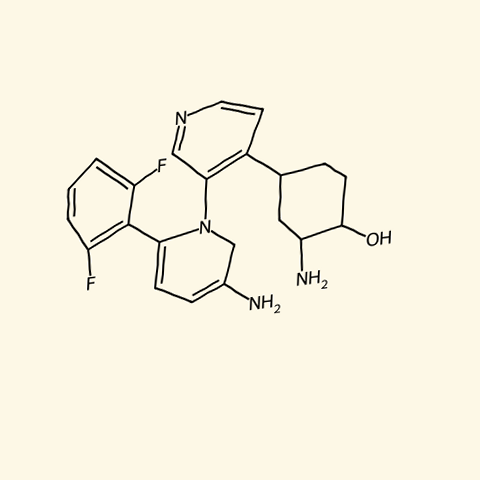 NC1=CC=C(c2c(F)cccc2F)N(c2cnccc2C2CCC(O)C(N)C2)C1